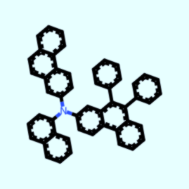 c1ccc(-c2c(-c3ccccc3)c3cc(N(c4ccc5c(ccc6ccccc65)c4)c4cccc5ccccc45)ccc3c3ccccc23)cc1